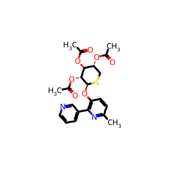 CC(=O)O[C@@H]1[C@@H](OC(C)=O)[C@H](OC(C)=O)CS[C@H]1Oc1ccc(C)nc1-c1cccnc1